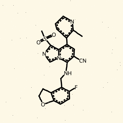 Cc1ncccc1-c1cc(C#N)c(NCc2c(F)ccc3c2CCO3)n2cnc(S(C)(=O)=O)c12